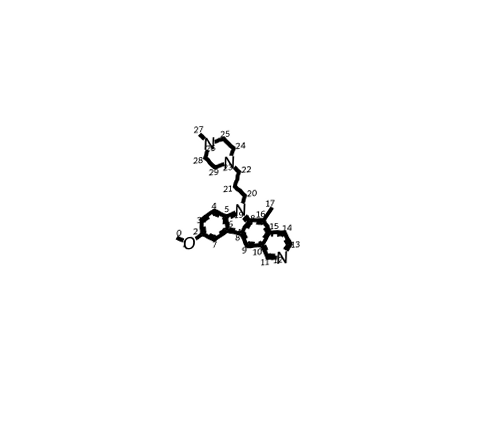 COc1ccc2c(c1)c1cc3cnccc3c(C)c1n2CCCN1CCN(C)CC1